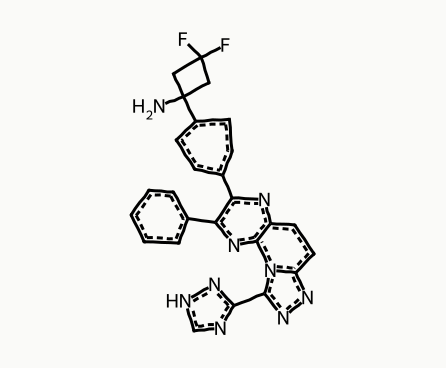 NC1(c2ccc(-c3nc4ccc5nnc(-c6nc[nH]n6)n5c4nc3-c3ccccc3)cc2)CC(F)(F)C1